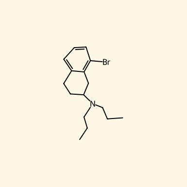 CCCN(CCC)C1CCc2cccc(Br)c2C1